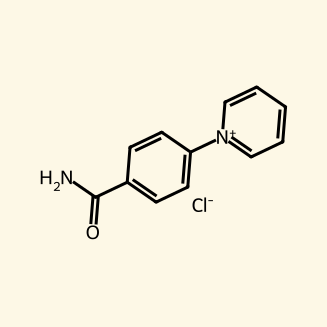 NC(=O)c1ccc(-[n+]2ccccc2)cc1.[Cl-]